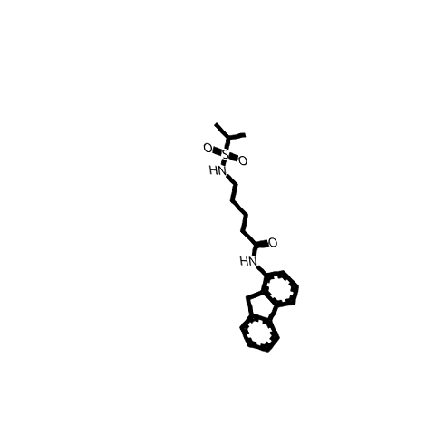 CC(C)S(=O)(=O)NCCCCC(=O)Nc1cccc2c1Cc1ccccc1-2